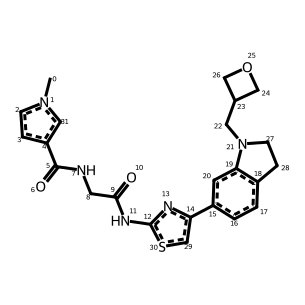 Cn1ccc(C(=O)NCC(=O)Nc2nc(-c3ccc4c(c3)N(CC3COC3)CC4)cs2)c1